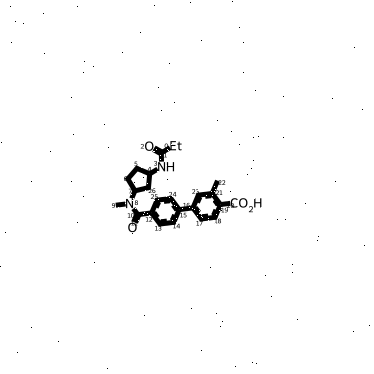 CCC(=O)NC1CCC(N(C)C(=O)c2ccc(-c3ccc(C(=O)O)c(C)c3)cc2)C1